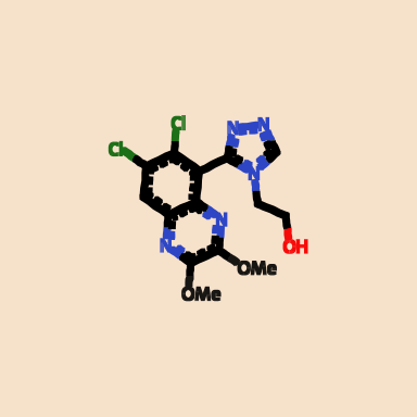 COc1nc2cc(Cl)c(Cl)c(-c3nncn3CCO)c2nc1OC